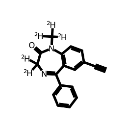 [2H]C1([2H])N=C(c2ccccc2)c2cc(C#C)ccc2N(C([2H])([2H])[2H])C1=O